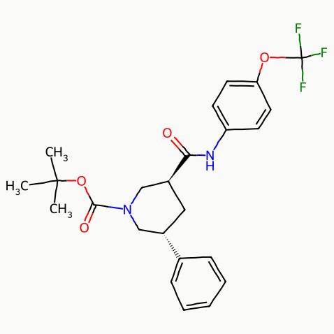 CC(C)(C)OC(=O)N1C[C@@H](C(=O)Nc2ccc(OC(F)(F)F)cc2)C[C@H](c2ccccc2)C1